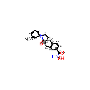 N#Cc1cccc(N2CC[C@@]3(CCc4cc(C(=O)NO)ccc4C3)C2=O)c1